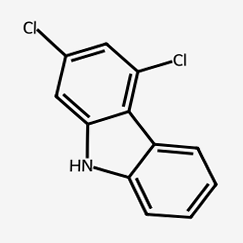 Clc1cc(Cl)c2c(c1)[nH]c1ccccc12